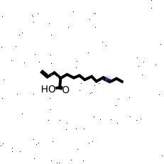 C=CCC(CCCCCC/C=C/CC)C(=O)O